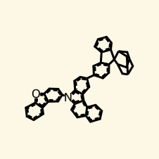 c1ccc2c(c1)-c1cc(-c3ccc4c(c3)c3c5ccccc5ccc3n4-c3ccc4oc5ccccc5c4c3)ccc1C21C2CC3CC(C2)CC1C3